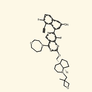 C#Cc1c(F)ccc2cc(O)cc(-c3ncc4c(N5CCCOCC5)nc(OC[C@]56CCC[C@H]5N(CC5(C)COC5)CCC6)nc4c3F)c12